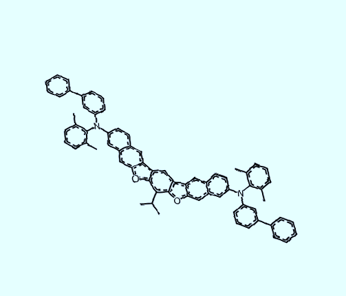 Cc1cccc(C)c1N(c1cccc(-c2ccccc2)c1)c1ccc2cc3c(cc2c1)oc1c(C(C)C)c2oc4cc5cc(N(c6cccc(-c7ccccc7)c6)c6c(C)cccc6C)ccc5cc4c2cc13